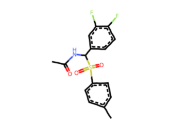 CC(=O)NC(c1ccc(F)c(F)c1)S(=O)(=O)c1ccc(C)cc1